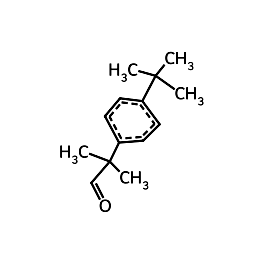 CC(C)(C)c1ccc(C(C)(C)C=O)cc1